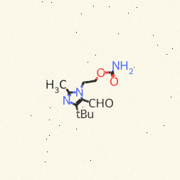 Cc1nc(C(C)(C)C)c(C=O)n1CCOC(N)=O